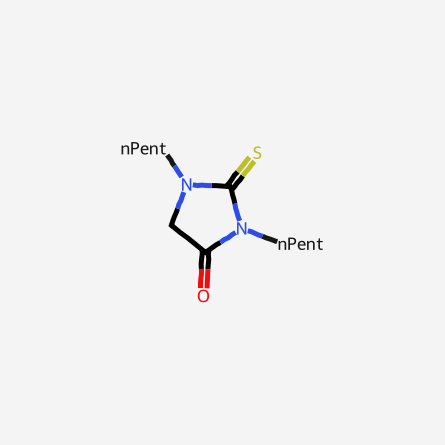 CCCCCN1CC(=O)N(CCCCC)C1=S